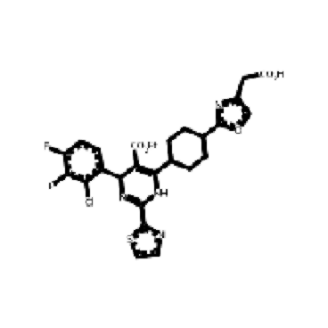 CCOC(=O)C1=C(C2CCC(c3nc(CC(=O)O)co3)CC2)NC(c2nccs2)=NC1c1ccc(F)c(F)c1Cl